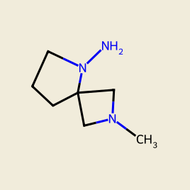 CN1CC2(CCCN2N)C1